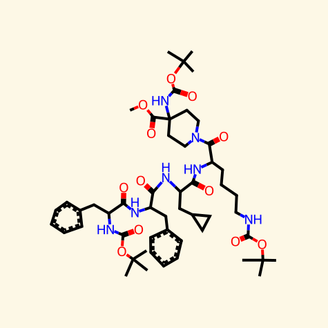 COC(=O)C1(NC(=O)OC(C)(C)C)CCN(C(=O)C(CCCCNC(=O)OC(C)(C)C)NC(=O)C(CC2CC2)NC(=O)C(Cc2ccccc2)NC(=O)C(Cc2ccccc2)NC(=O)OC(C)(C)C)CC1